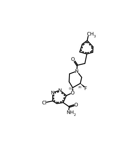 Cc1ccc(CC(=O)N2CC[C@H](Oc3nnc(Cl)cc3C(N)=O)[C@H](F)C2)cc1